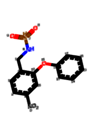 O=[N+]([O-])c1ccc(CN[SH](=O)=O)c(Oc2ccccc2)c1